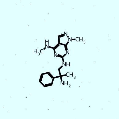 CNc1nc(NCC(C)(N)c2ccccc2)nc2c1cnn2C